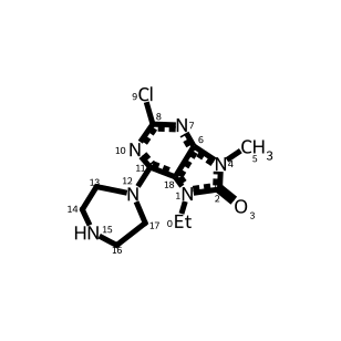 CCn1c(=O)n(C)c2nc(Cl)nc(N3CCNCC3)c21